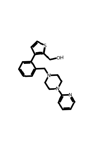 OCc1sccc1-c1ccccc1CN1CCN(c2ccccn2)CC1